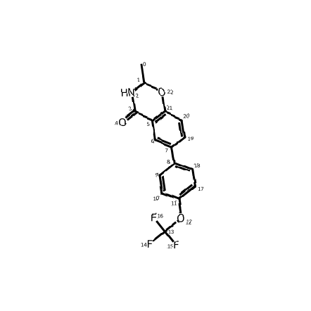 CC1NC(=O)c2cc(-c3ccc(OC(F)(F)F)cc3)ccc2O1